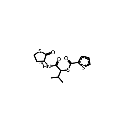 CC(C)C(SC(=O)c1cccs1)C(=O)N[C@H]1CCSC1=O